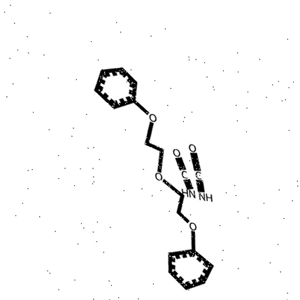 N=C=O.N=C=O.c1ccc(OCCOCCOc2ccccc2)cc1